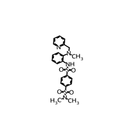 CN(Cc1ccccn1)c1ccccc1NS(=O)(=O)c1ccc(S(=O)(=O)N(C)C)cc1